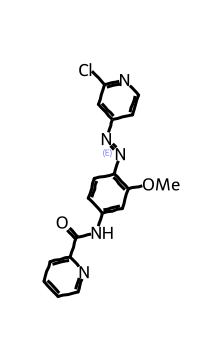 COc1cc(NC(=O)c2ccccn2)ccc1/N=N/c1ccnc(Cl)c1